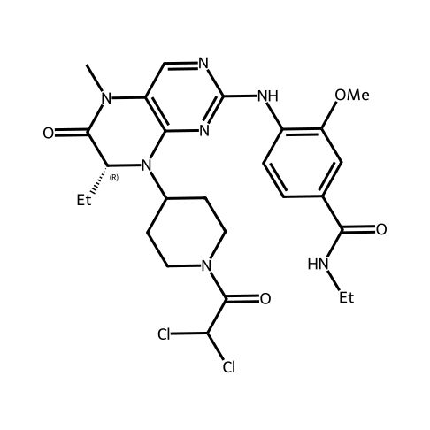 CCNC(=O)c1ccc(Nc2ncc3c(n2)N(C2CCN(C(=O)C(Cl)Cl)CC2)[C@H](CC)C(=O)N3C)c(OC)c1